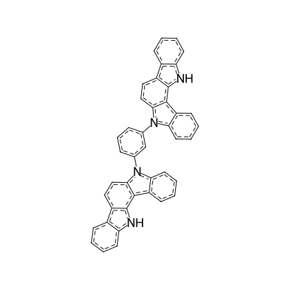 c1cc(-n2c3ccccc3c3c4[nH]c5ccccc5c4ccc32)cc(-n2c3ccccc3c3c4[nH]c5ccccc5c4ccc32)c1